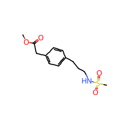 COC(=O)Cc1ccc(CCCNS(C)(=O)=O)cc1